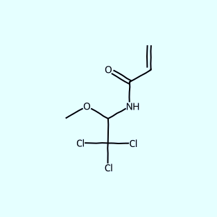 C=CC(=O)NC(OC)C(Cl)(Cl)Cl